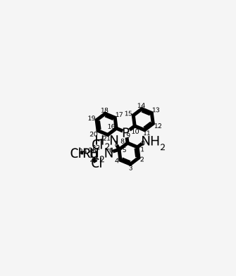 NC1=CC=CC(N)(N)C1P(C1C=CC=CC1)C1C=CC=CC1.[Cl][Ru]([Cl])[Cl]